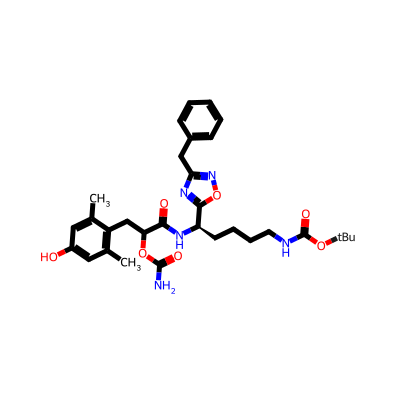 Cc1cc(O)cc(C)c1CC(OC(N)=O)C(=O)N[C@H](CCCCNC(=O)OC(C)(C)C)c1nc(Cc2ccccc2)no1